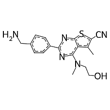 Cc1c(C#N)sc2nc(-c3ccc(CN)cc3)nc(N(C)CCO)c12